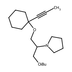 CC#CC1(OCC(COCC(C)C)N2CCCC2)CCCCC1